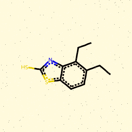 CCc1ccc2sc(S)nc2c1CC